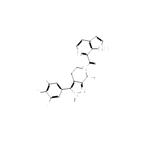 C[C@H]1c2nn(C)c(-c3cc(F)c(F)c(F)c3)c2CCN1C(=O)c1nccc2cc[nH]c12